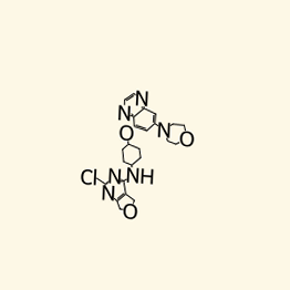 Clc1nc2c(c(NC3CCC(Oc4cc(N5CCOCC5)cc5nccnc45)CC3)n1)COC2